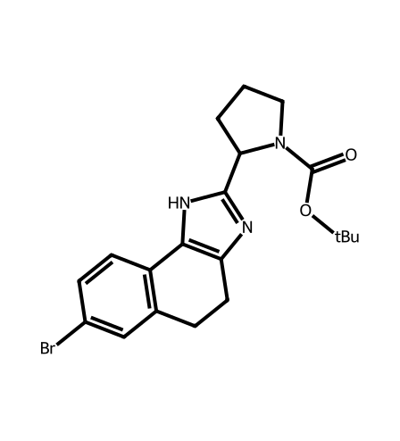 CC(C)(C)OC(=O)N1CCCC1c1nc2c([nH]1)-c1ccc(Br)cc1CC2